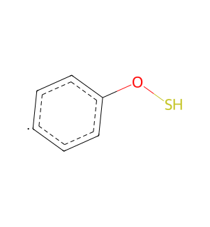 SOc1cc[c]cc1